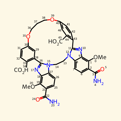 COc1c(C(N)=O)ccc2c1nc1n2CCn2c(nc3c(OC)c(C(N)=O)ccc32)-c2cc(ccc2C(=O)O)OCCCOc2ccc-1c(C(=O)O)c2